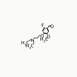 CCN(CC)CCCOc1cc(F)c(C=O)cc1OC